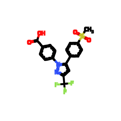 CS(=O)(=O)c1ccc(-c2cc(C(F)(F)F)nn2-c2ccc(C(=O)O)cc2)cc1